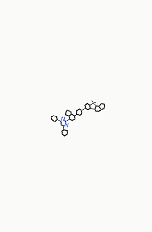 CC1(C)c2ccc(-c3ccc(-c4ccc(-c5nc(-c6ccccc6)cc(-c6ccccc6)n5)c5ccccc45)cc3)cc2-c2ccc3ccccc3c21